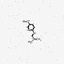 COc1ccc(N=CN(C)C)nc1